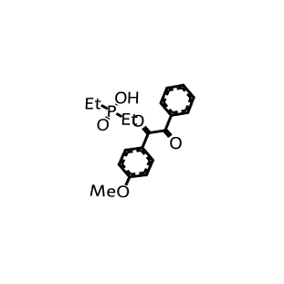 CCP(=O)(O)CC.COc1ccc(C(=O)C(=O)c2ccccc2)cc1